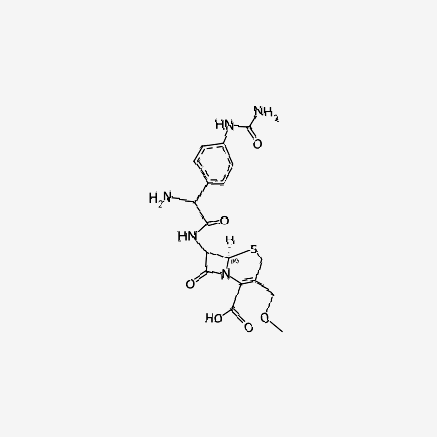 COCC1=C(C(=O)O)N2C(=O)C(NC(=O)C(N)c3ccc(NC(N)=O)cc3)[C@H]2SC1